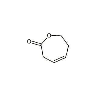 O=C1CC=CCCO1